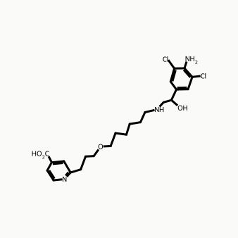 Nc1c(Cl)cc(C(O)CNCCCCCCOCCCc2cc(C(=O)O)ccn2)cc1Cl